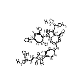 CC(C)c1[nH]n(-c2c(Cl)cc(Cl)cc2Cl)c2nc(Cc3ccc(NS(=O)(=O)/C=C/N(C)C)cc3)nc(=O)c1-2